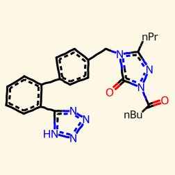 CCCCC(=O)n1nc(CCC)n(Cc2ccc(-c3ccccc3-c3nnn[nH]3)cc2)c1=O